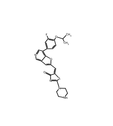 CC(C)Oc1ccc(-c2cncc3cc(/C=C4/SC(N5CCNCC5)=NC4=O)oc23)cc1F